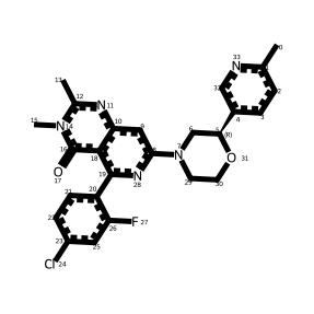 Cc1ccc([C@@H]2CN(c3cc4nc(C)n(C)c(=O)c4c(-c4ccc(Cl)cc4F)n3)CCO2)cn1